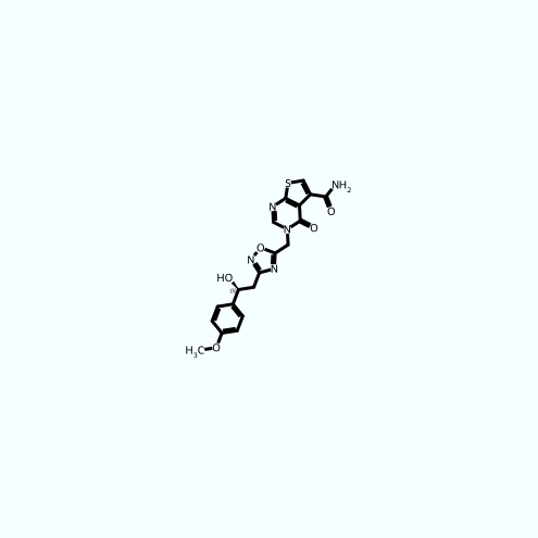 COc1ccc([C@@H](O)Cc2noc(Cn3cnc4scc(C(N)=O)c4c3=O)n2)cc1